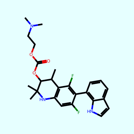 CC1c2c(cc(F)c(-c3cccc4cc[nH]c34)c2F)NC(C)(C)C1OC(=O)OCCN(C)C